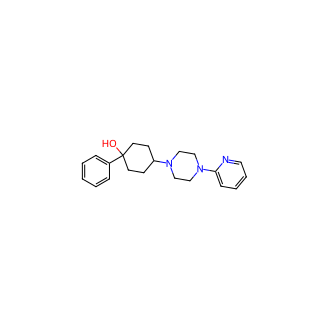 OC1(c2ccccc2)CCC(N2CCN(c3ccccn3)CC2)CC1